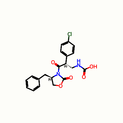 O=C(O)NC[C@H](C(=O)N1C(=O)OC[C@H]1Cc1ccccc1)c1ccc(Cl)cc1